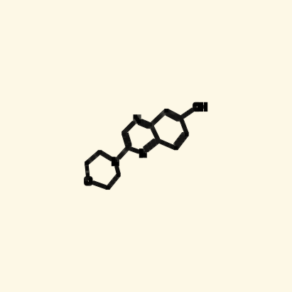 Oc1ccc2nc(N3CCOCC3)cnc2c1